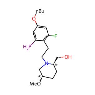 CCCCOc1cc(F)c(CCN2C[C@H](OC)CC[C@@H]2CO)c(P)c1